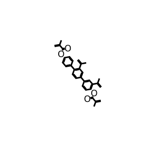 C=C(C)C(=O)Oc1ccc(-c2ccc(-c3ccc(OC(=O)C(=C)C)c(C(=C)C)c3)cc2C(=C)C)cc1